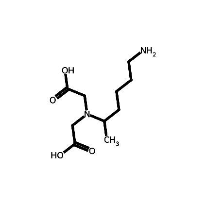 CC(CCCCN)N(CC(=O)O)CC(=O)O